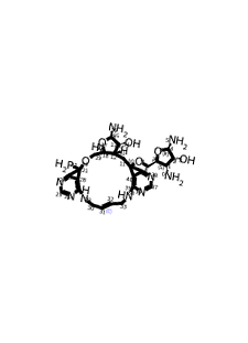 N[C@H]1[C@@H](O)[C@H](N)O[C@@H]1COC12C[C@H]3[C@@H](O)[C@H](N)O[C@@H]3COC3(P)c4ncnc(c43)NC/C=C/CNc3ncnc1c32